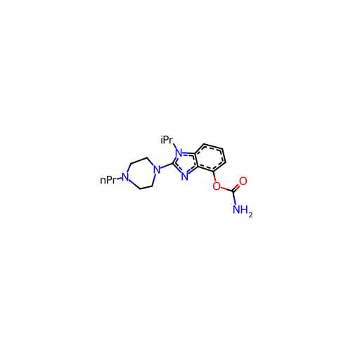 CCCN1CCN(c2nc3c(OC(N)=O)cccc3n2C(C)C)CC1